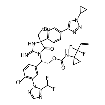 C=CC(F)(F)C1(NC(=O)OC[C@H](c2ccc(Cl)c(-n3ncnc3C(F)F)c2)N2C(=N)N[C@](CC(C)(C)C)(c3ccc(-c4cn(C5CC5)nn4)cc3)C2=O)CC1